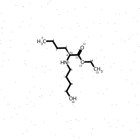 CCCC[C@H](NCCCCO)C(=O)OCC